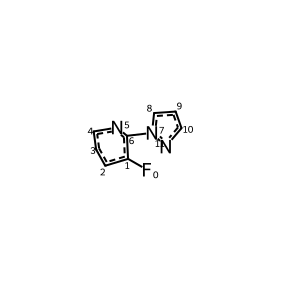 Fc1cccnc1-n1cccn1